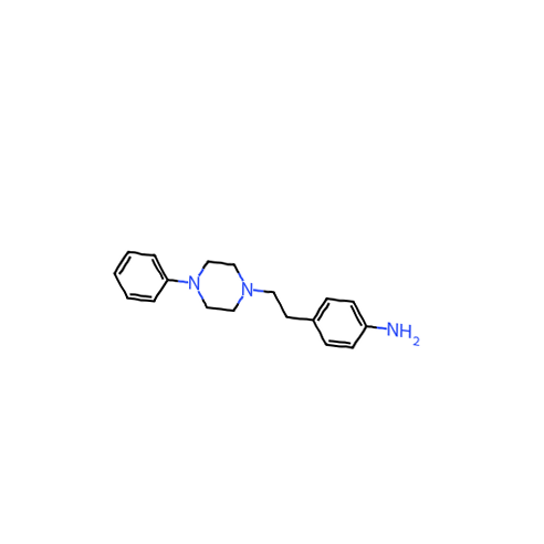 Nc1ccc(CCN2CCN(c3ccccc3)CC2)cc1